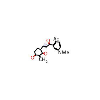 C=C1C(=O)CCC(/C=C/C(=O)c2cc(NC)ccc2C(C)=O)C1=O